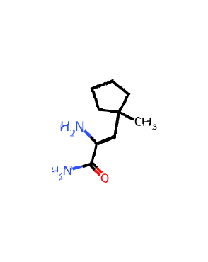 CC1(CC(N)C(N)=O)CCCC1